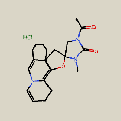 CC(=O)N1CC2(CC34CCCCC3=CN3C=CCCC3=C4O2)N(C)C1=O.Cl